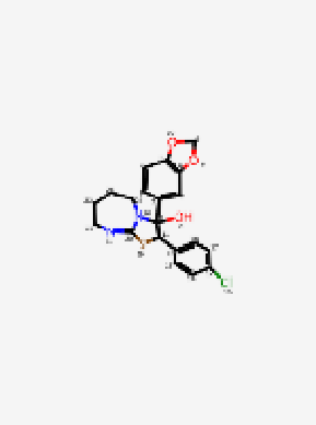 OC1(c2ccc3c(c2)OCO3)C(c2ccc(Cl)cc2)SC2=NCCCCN21